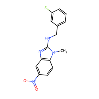 Cn1c(NCc2cccc(F)c2)nc2cc([N+](=O)[O-])ccc21